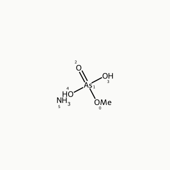 CO[As](=O)(O)O.N